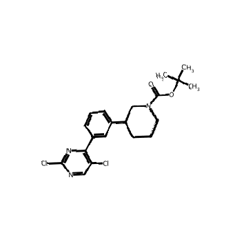 CC(C)(C)OC(=O)N1CCCC(c2cccc(-c3nc(Cl)ncc3Cl)c2)C1